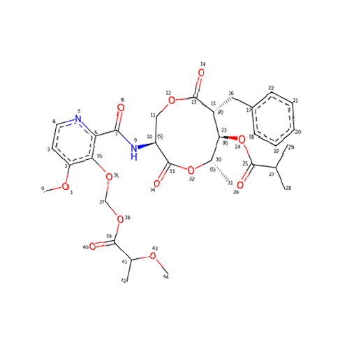 COc1ccnc(C(=O)N[C@H]2COC(=O)[C@H](Cc3ccccc3)[C@@H](OC(=O)C(C)C)[C@H](C)OC2=O)c1OCOC(=O)C(C)OC